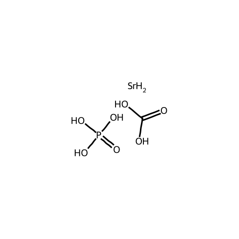 O=C(O)O.O=P(O)(O)O.[SrH2]